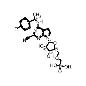 C[C@@H](Nc1nc(C#N)nc2c1ccn2[C@@H]1O[C@H](COCP(=O)(O)O)[C@@H](O)[C@H]1O)c1ccc(F)cc1